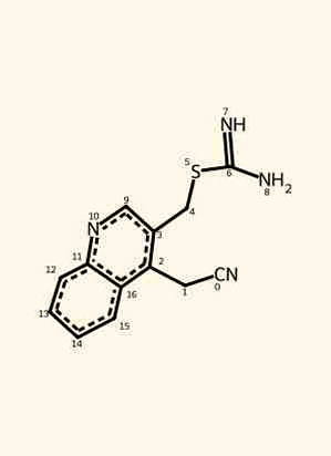 N#CCc1c(CSC(=N)N)cnc2ccccc12